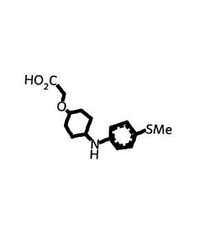 CSc1ccc(NC2CCC(OCC(=O)O)CC2)cc1